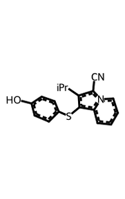 CC(C)c1c(Sc2ccc(O)cc2)c2ccccn2c1C#N